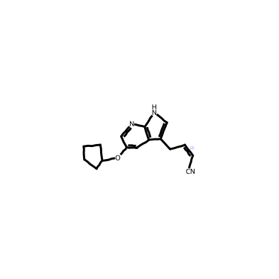 N#C/C=C\Cc1c[nH]c2ncc(OC3CCCC3)cc12